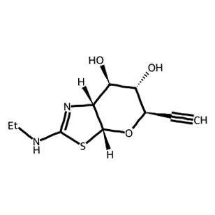 C#C[C@H]1O[C@@H]2SC(NCC)=N[C@@H]2[C@@H](O)[C@@H]1O